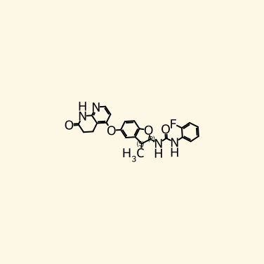 C[C@H]1c2cc(Oc3ccnc4c3CCC(=O)N4)ccc2O[C@H]1NC(=O)Nc1ccccc1F